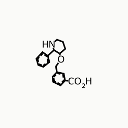 O=C(O)c1cccc(COC2CCCNC2c2ccccc2)c1